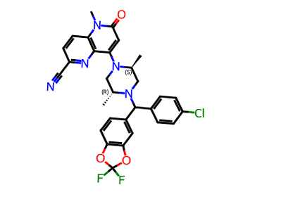 C[C@@H]1CN(c2cc(=O)n(C)c3ccc(C#N)nc23)[C@@H](C)CN1C(c1ccc(Cl)cc1)c1ccc2c(c1)OC(F)(F)O2